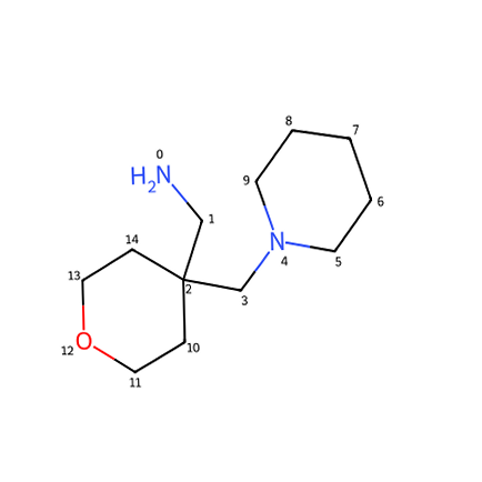 NCC1(CN2CCCCC2)CCOCC1